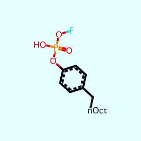 CCCCCCCCCc1ccc(OP(=O)(O)OF)cc1